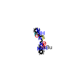 CC(C)(C)OC(=O)N(CCc1nc(C(=O)Nc2ncccc2F)cs1)Cc1nc2ccccc2[nH]1